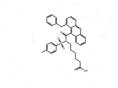 Cc1ccc(S(=O)(=O)N(CCCCCC(=O)O)C(=O)c2c3ccccc3nc3cccc(Cc4ccccc4)c23)cc1